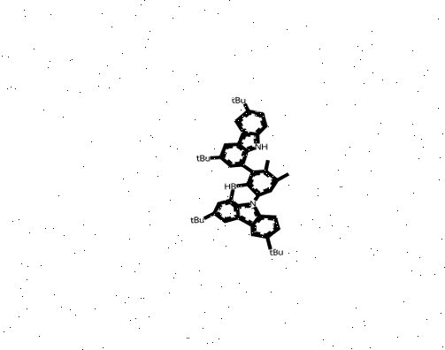 Cc1cc2c(c(-c3cc(C(C)(C)C)cc4c3[nH]c3ccc(C(C)(C)C)cc34)c1C)Bc1cc(C(C)(C)C)cc3c4cc(C(C)(C)C)ccc4n-2c13